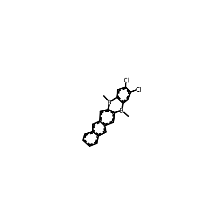 CB1c2cc(Cl)c(Cl)cc2B(C)c2cc3cc4ccccc4cc3cc21